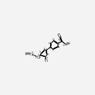 CCCCCCOc1ccc(-c2ccc(C(=O)C(C)CC)cc2)cc1Cl